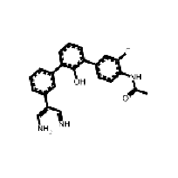 CC(=O)Nc1ccc(-c2cccc(-c3cccc(/C(C=N)=C/N)c3)c2O)cc1F